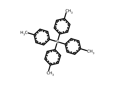 Cc1ccc([Si](c2ccc(C)cc2)(c2ccc(C)cc2)c2ccc(C)cc2)cc1